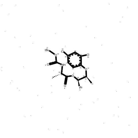 CC(C)[C@@H](OC(=O)[C@H](C)NC(=O)OC(C)(C)C)[C@H](C)Oc1ccc(Cl)cc1Cl